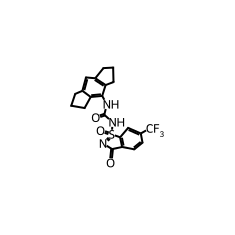 O=C(Nc1c2c(cc3c1CCC3)CCC2)NS1(=O)=NC(=O)c2ccc(C(F)(F)F)cc21